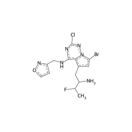 CC(F)C(N)Cc1cc(Br)n2nc(Cl)nc(NCc3ccon3)c12